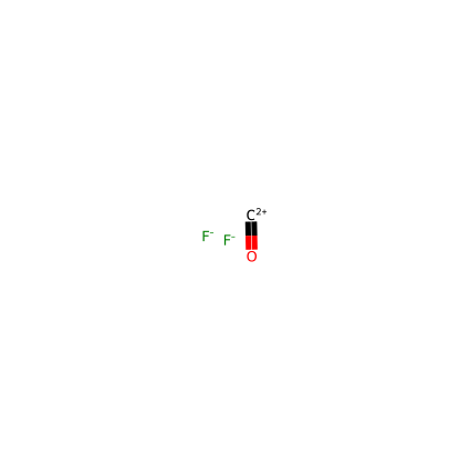 [C+2]=O.[F-].[F-]